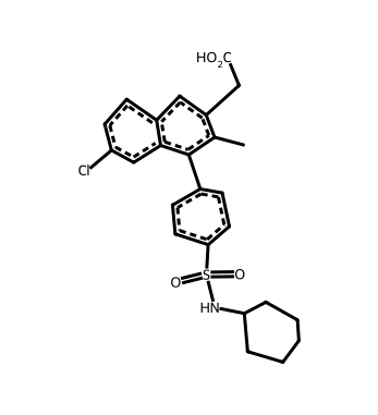 Cc1c(CC(=O)O)cc2ccc(Cl)cc2c1-c1ccc(S(=O)(=O)NC2CCCCC2)cc1